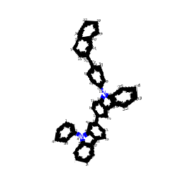 c1ccc(-n2c3ccccc3c3ccc(-c4ccc5c(c4)c4ccccc4n5-c4ccc(-c5ccc6ccccc6c5)cc4)cc32)cc1